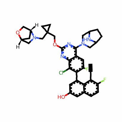 C#Cc1c(F)ccc2cc(O)cc(-c3c(F)cc4c(N5CC6CCC(C5)N6)nc(OCC5(CN6C[C@H]7C[C@@H]6CO7)CC5)nc4c3Cl)c12